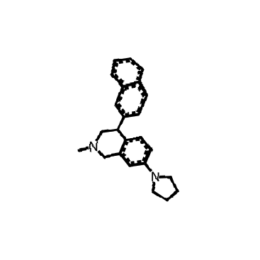 CN1Cc2cc(N3CCCC3)ccc2C(c2ccc3ccccc3c2)C1